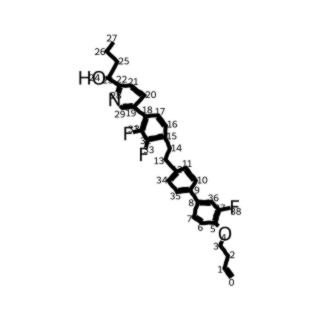 C=CCCOc1ccc(-c2ccc(CCc3ccc(-c4ccc(C(O)CCC)nc4)c(F)c3F)cc2)cc1F